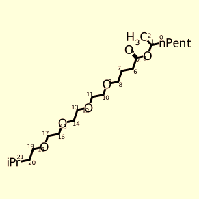 CCCCCC(C)OC(=O)CCCOCCOCCOCCOCCC(C)C